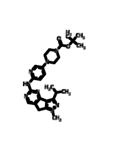 CC(C)c1nn(C)c2c1-c1nc(Nc3ccc(N4CCN(C(=O)OC(C)(C)C)CC4)cn3)ncc1C2